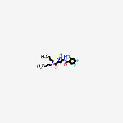 CCCCN(CCCC)C(=O)c1cc(NC(=O)c2cc(F)c(F)cc2Cl)[nH]n1